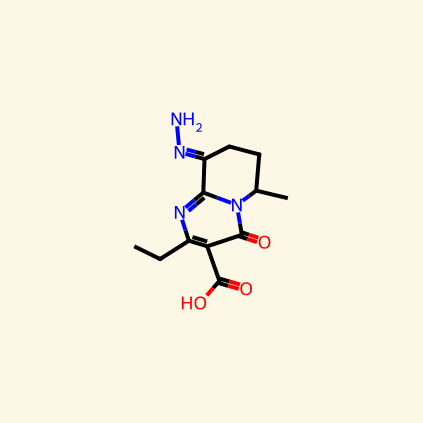 CCc1nc2n(c(=O)c1C(=O)O)C(C)CCC2=NN